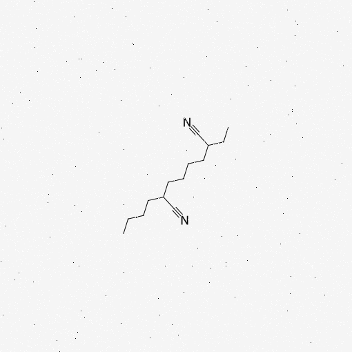 CCCCC(C#N)CCCCC(C#N)CC